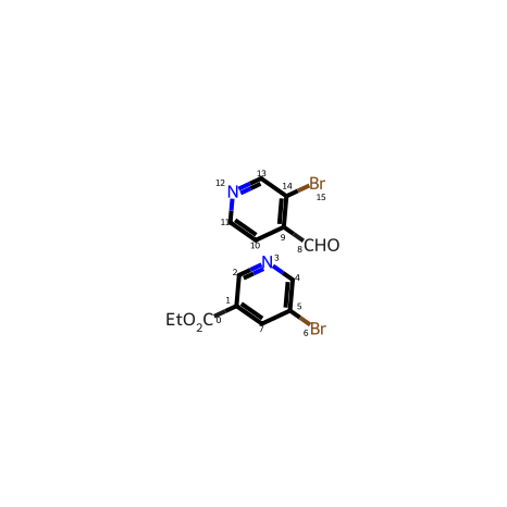 CCOC(=O)c1cncc(Br)c1.O=Cc1ccncc1Br